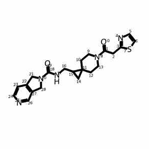 O=C(Cc1nccs1)N1CCC2(CC1)CC2CNC(=O)N1Cc2ccncc2C1